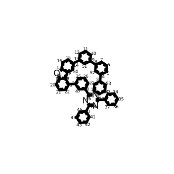 c1ccc(-c2cccc(-c3cccc(-c4ccc5oc6cccc(-c7cccc(-c8nc(-c9ccccc9)nc(-c9ccccc9)n8)c7)c6c5c4)c3)c2)cc1